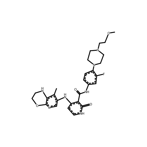 COCCN1CCN(c2ccc(NC(=O)c3c(Nc4cnc5c(c4C)NCCO5)cc[nH]c3=O)cc2F)CC1